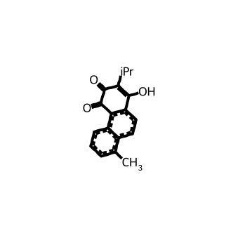 Cc1cccc2c3c(ccc12)C(O)=C(C(C)C)C(=O)C3=O